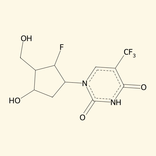 O=c1[nH]c(=O)n(C2CC(O)C(CO)C2F)cc1C(F)(F)F